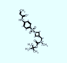 C=CC(=O)Nc1ccc(S(=O)(=O)N2CC(CN(C)C(=O)OC(C)(C)C)C2)cc1